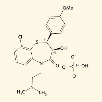 COc1ccc([C@@H]2Sc3c(Cl)cccc3N(CCN(C)C)C(=O)[C@@H]2O)cc1.[O-][Cl+3]([O-])([O-])O